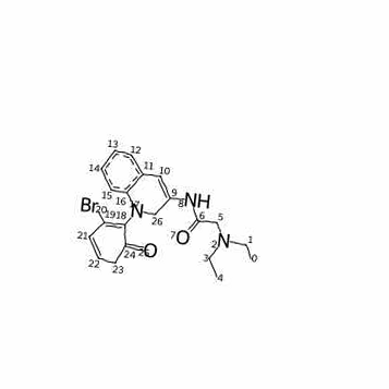 CCN(CC)CC(=O)NC1=Cc2ccccc2N(C2=C(Br)C=CCC2=O)C1